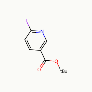 CC(C)(C)OC(=O)c1ccc(I)nc1